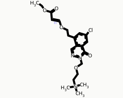 CCOC(=O)/C=C/OCCc1cc(Cl)cc2c(=O)n(COCC[Si](C)(C)C)ncc12